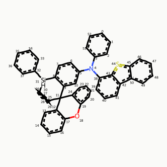 c1ccc(N(c2ccc3c(c2)C2(c4ccccc4Oc4ccccc42)c2ccccc2[SiH]3c2ccccc2)c2cccc3c2sc2ccccc23)cc1